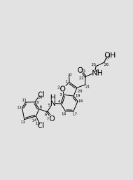 Cc1oc2c(NC(=O)c3c(Cl)cccc3Cl)cccc2c1CC(=O)NCCO